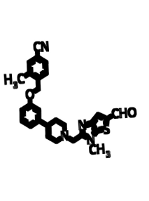 Cc1cc(C#N)ccc1COc1cccc(C2=CCN(Cc3nc4cc(C=O)sc4n3C)CC2)c1